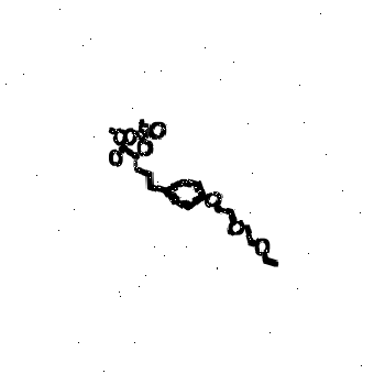 CCOCCOCCOc1ccc(CCC[C@@H](OS(C)(=O)=O)C(=O)OC)cc1